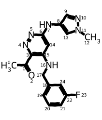 CC(=O)c1nnc(Nc2cnn(C)c2)cc1NCc1cccc(F)c1